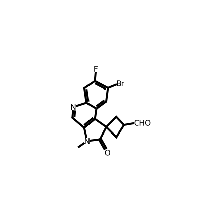 CN1C(=O)C2(CC(C=O)C2)c2c1cnc1cc(F)c(Br)cc21